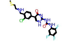 CSCCNCc1ccc(-c2c[nH]c(NC(=O)Nc3cc(F)c(F)cc3F)nc2=O)cc1Cl